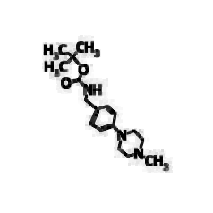 CN1CCN(c2ccc(CNC(=O)OC(C)(C)C)cc2)CC1